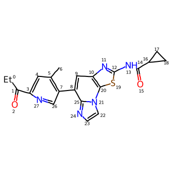 CCC(=O)c1cc(C)c(-c2cc3nc(NC(=O)C4CC4)sc3n3ccnc23)cn1